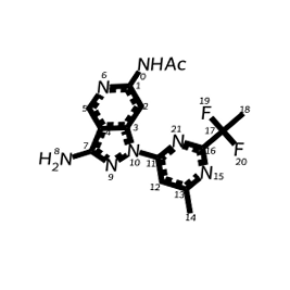 CC(=O)Nc1cc2c(cn1)c(N)nn2-c1cc(C)nc(C(C)(F)F)n1